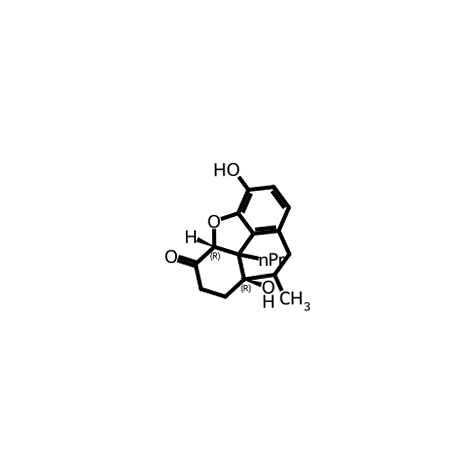 CCCC12c3c4ccc(O)c3O[C@H]1C(=O)CC[C@@]2(O)C(C)C4